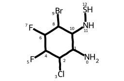 NC1C(Cl)C(F)C(F)C(Br)C1NS